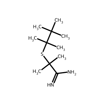 CC(C)(SC(C)(C)C(C)(C)C)C(=N)N